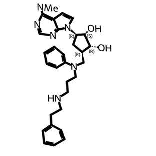 CNc1ncnc2c1ccn2[C@@H]1C[C@H](CN(CCCNCCc2ccccc2)c2ccccc2)[C@@H](O)[C@H]1O